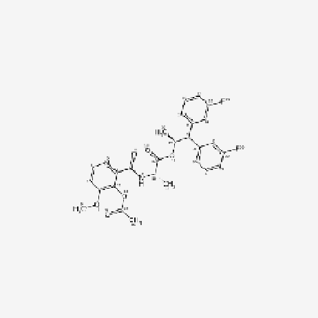 COc1ccnc(C(=O)N[C@@H](C)C(=O)O[C@@H](C)C(c2cccc(F)c2)c2cccc(F)c2)c1OC(C)=O